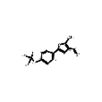 Cc1oc(-c2ccc(OC(F)(F)F)cc2)cc1C=O